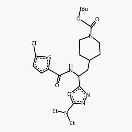 CCN(CC)c1nnc(C(CC2CCN(C(=O)OC(C)(C)C)CC2)NC(=O)c2ccc(Cl)s2)o1